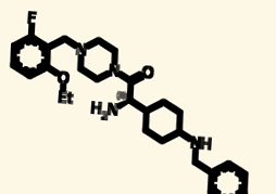 CCOc1cccc(F)c1CN1CCN(C(=O)[C@H](N)C2CCC(NCc3ccccc3)CC2)CC1